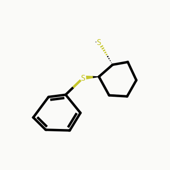 [S][C@@H]1CCCC[C@H]1Sc1ccccc1